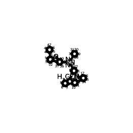 CC1(C)c2ccccc2-c2ccc3c4ccccc4n(-c4ccc(-c5nc(-c6ccccc6)nc(-c6ccc7c(c6)oc6c(-c8ccccc8)cccc67)n5)cc4)c3c21